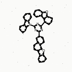 c1ccc2c(c1)oc1c3ccc(-c4nc(-c5cccc6oc7ccccc7c56)nc(-n5c6ccccc6c6ccccc65)n4)cc3ccc21